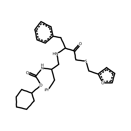 CC(C)CC(CNC(Cc1ccccc1)C(=O)CSCc1ccco1)NC(=O)OC1CCCCC1